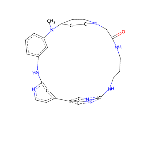 CN1c2cccc(c2)Nc2cc(ccn2)-c2cnc(nc2)NCCCNC(=O)CN2CCC1CC2